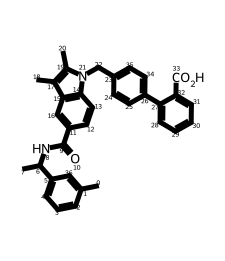 Cc1cccc(C(C)NC(=O)c2ccc3c(c2)c(C)c(C)n3Cc2ccc(-c3ccccc3C(=O)O)cc2)c1